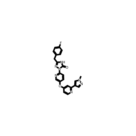 Cn1cc(-c2cc(Oc3ccc(-n4nc(Cc5ccc(F)cc5)[nH]c4=O)nc3)ccn2)cn1